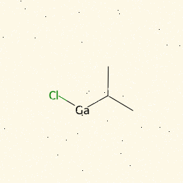 C[CH](C)[Ga][Cl]